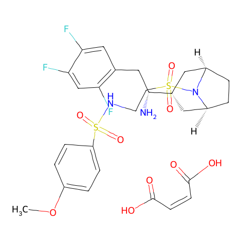 COc1ccc(S(=O)(=O)NCCS(=O)(=O)N2[C@@H]3CC[C@H]2C[C@H]([C@H](N)Cc2cc(F)c(F)cc2F)C3)cc1.O=C(O)/C=C\C(=O)O